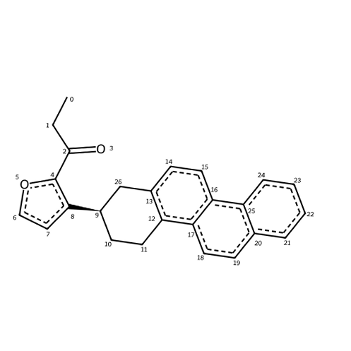 CCC(=O)c1occc1[C@@H]1CCc2c(ccc3c2ccc2ccccc23)C1